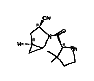 CC1(C)CCN[C@@H]1C(=O)N1C2C[C@H]2C[C@H]1C#N